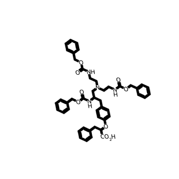 O=C(NCCN(CCNC(=O)OCc1ccccc1)CC(Cc1ccc(OC(Cc2ccccc2)C(=O)O)cc1)NC(=O)OCc1ccccc1)OCc1ccccc1